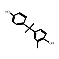 Cc1cc(C(C)(C)c2ccc(O)cc2)ccc1O